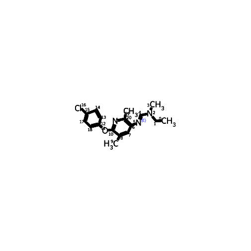 CCN(C)/C=N/c1cc(C)c(Oc2ccc(Cl)cc2)nc1C